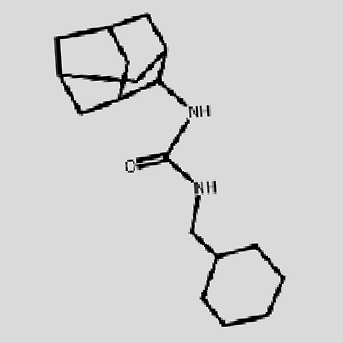 O=C(NCC1CCCCC1)NC1C2CC3CC(C2)CC1C3